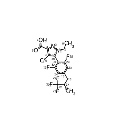 CCn1nc(C(=O)O)c(Cl)c1-c1c(F)cc(CC(C)C(F)(F)F)cc1F